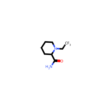 NC(=O)C1C[CH]CCN1CC(F)(F)F